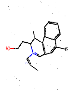 C/C=C\[N+]1=Cc2cc(C(C)(C)C)c3ccccc3c2C(C)C1CCO